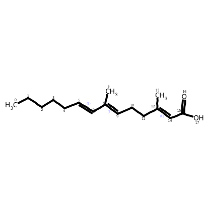 CCCCC/C=C/C(C)=C/CC/C(C)=C/C(=O)O